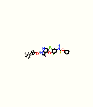 C[Si](C)(C)CCOCn1cc(I)c2c(Oc3c(F)cc(NC(=S)Oc4ccccc4)cc3F)ccnc21